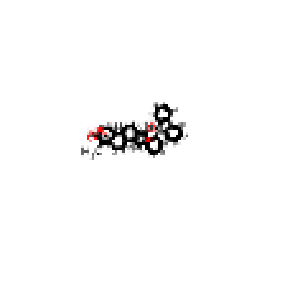 CC1=C2CC[C@@H]3[C@H](CC[C@]4(C)[C@@H](O[Si](c5ccccc5)(c5ccccc5)c5ccccc5)CC[C@@H]34)[C@@]2(CO)CCC1=O